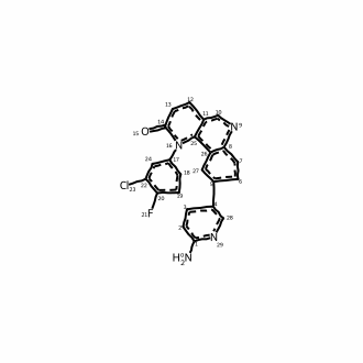 Nc1ccc(-c2ccc3ncc4ccc(=O)n(-c5ccc(F)c(Cl)c5)c4c3c2)cn1